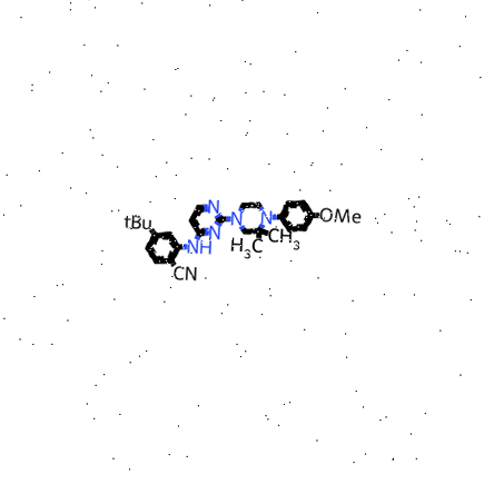 COc1ccc(N2CCN(c3nccc(Nc4cc(C(C)(C)C)ccc4C#N)n3)CC2(C)C)cc1